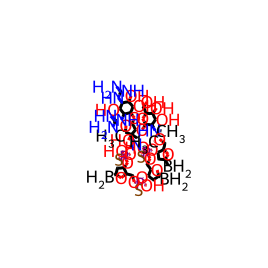 BC1CC(OP(O)(=S)OCC2OC(B)CC2OP(O)(=S)OCC2OC(B)CC2OP(O)(=S)OC/N=C\C2(O)C(C)OC(OC3C(O)C(O)C(NC(=N)N)C(O)C3NC(=N)N)C2OC2OC(CO)C(O)C(O)C2NC)C(COC)O1